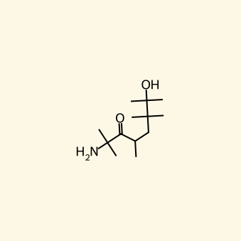 CC(CC(C)(C)C(C)(C)O)C(=O)C(C)(C)N